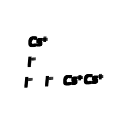 [Cs+].[Cs+].[Cs+].[I-].[I-].[I-]